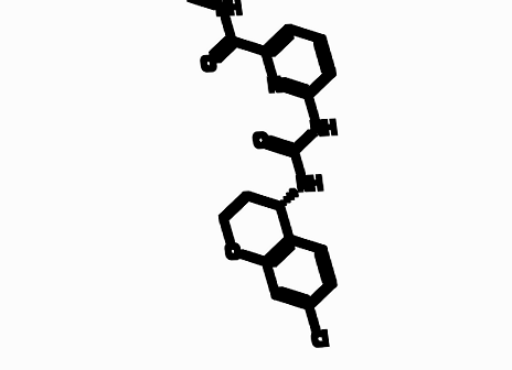 CNC(=O)c1cccc(NC(=O)N[C@H]2CCOc3cc(Cl)ccc32)n1